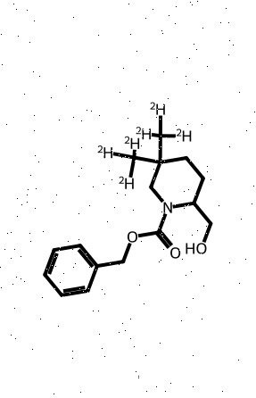 [2H]C([2H])([2H])C1(C([2H])([2H])[2H])CCC(CO)N(C(=O)OCc2ccccc2)C1